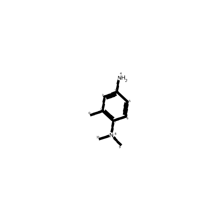 Cc1cc(N)ccc1N(C)C